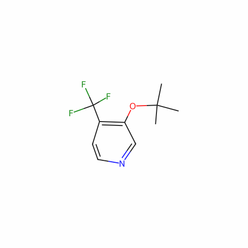 CC(C)(C)Oc1cnccc1C(F)(F)F